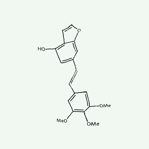 COc1cc(/C=C/c2cc(O)c3ccoc3c2)cc(OC)c1OC